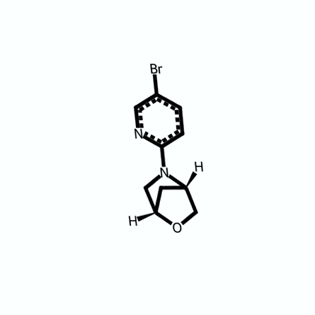 Brc1ccc(N2C[C@@H]3C[C@H]2CO3)nc1